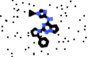 c1ccc(C2CCCN2c2nc(Nc3cn(C4CC4)cn3)c3cccn3n2)cc1